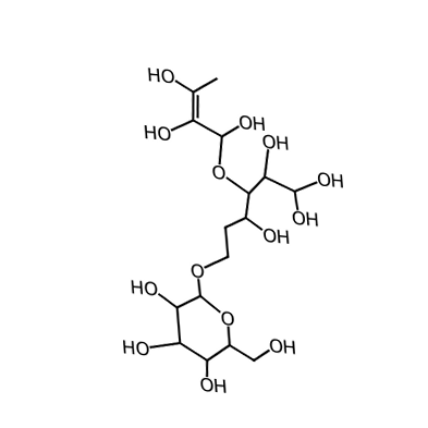 C/C(O)=C(/O)C(O)OC(C(O)CCOC1OC(CO)C(O)C(O)C1O)C(O)C(O)O